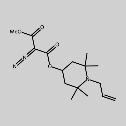 C=CCN1C(C)(C)CC(OC(=O)C(=[N+]=[N-])C(=O)OC)CC1(C)C